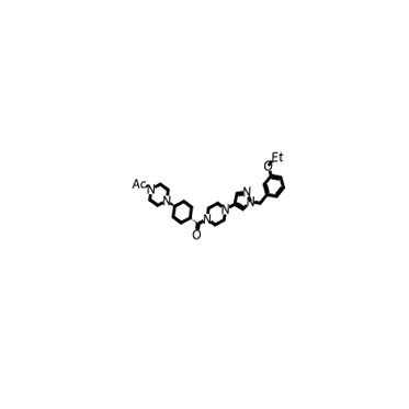 CCOc1cccc(Cn2cc(N3CCN(C(=O)[C@H]4CC[C@H](N5CCN(C(C)=O)CC5)CC4)CC3)cn2)c1